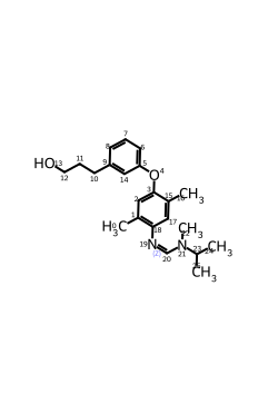 Cc1cc(Oc2cccc(CCCO)c2)c(C)cc1/N=C\N(C)C(C)C